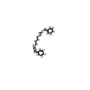 C(=NCCCCCN=C=Nc1ccccc1)=Nc1ccccc1